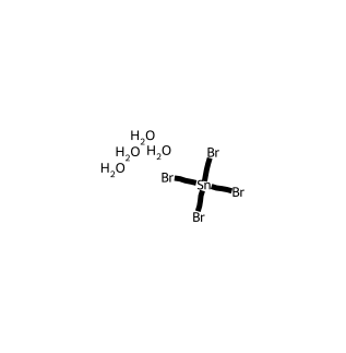 O.O.O.O.[Br][Sn]([Br])([Br])[Br]